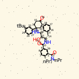 CCCN(CCC)C(=O)c1cccc(C(=O)N[C@@H](Cc2ccccc2)[C@H](O)CNC2(c3cccc(C(C)(C)C)c3)CCC(=O)CC2)c1